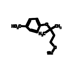 CC(C)(C)OCCC(C)(C)Oc1ccc(C(=O)O)cc1